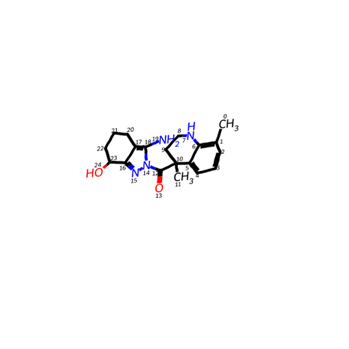 Cc1cccc2c1NCCC2(C)C(=O)n1nc2c(c1N)CCCC2O